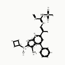 C=N/C(=N\C=C(/C)c1cc(-c2ccccc2)c2c(N)c([S@+]([O-])C3CCC3)sc2n1)NS(C)(=O)=O